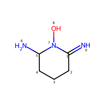 N=C1CCCC(N)N1O